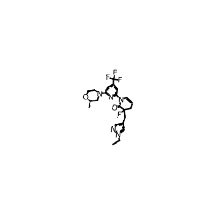 CCn1cc(CC2(F)CC=CN(c3cc(C(F)(F)F)cc(N4CCO[C@H](C)C4)n3)C2=O)cn1